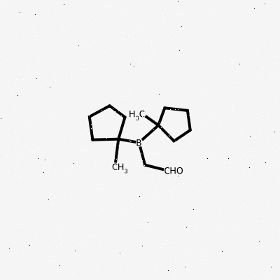 CC1(B(CC=O)C2(C)CCCC2)CCCC1